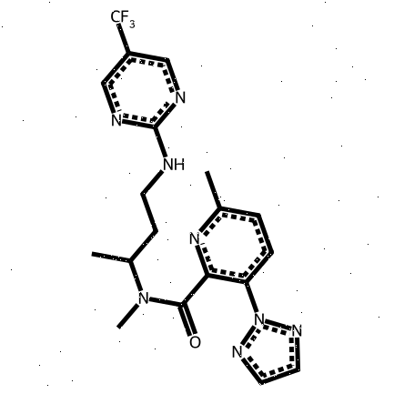 Cc1ccc(-n2nccn2)c(C(=O)N(C)C(C)CCNc2ncc(C(F)(F)F)cn2)n1